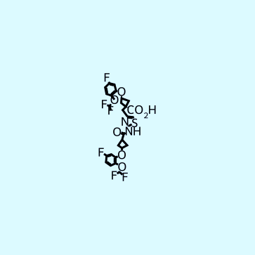 O=C(Nc1nc(C[C@]2(C(=O)O)C[C@H](Oc3cc(F)ccc3OC(F)F)C2)cs1)C1CC(Oc2cc(F)ccc2OC(F)F)C1